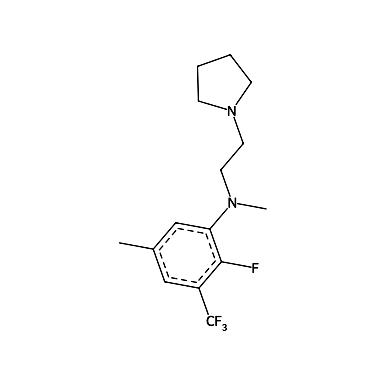 Cc1cc(N(C)CCN2CCCC2)c(F)c(C(F)(F)F)c1